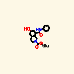 CC(C)(C)OC(=O)N1CCc2cc(O)cc(C(=O)Nc3ccccc3)c2C1